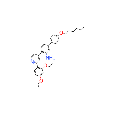 CCCCCCOc1ccc(-c2ccc(-c3ccnc(-c4ccc(OCC)cc4OCC)c3)c(N)c2)cc1